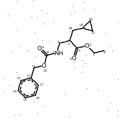 CCOC(=O)C(CNC(=O)OCc1ccccc1)CC1CC1